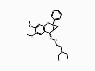 CCN(CC)CCON=C1c2cc(OC)c(OC)cc2OC2(c3ccccc3)CC12